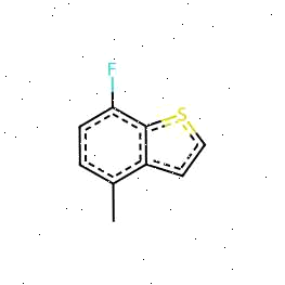 Cc1ccc(F)c2sccc12